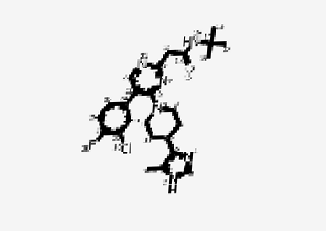 Cc1[nH]cnc1C1CCN(c2nc(CC(=O)NC(C)(C)C)ncc2-c2ccc(F)c(Cl)c2)CC1